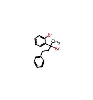 CC(Br)(CCc1ccccc1)c1ccccc1Br